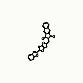 O=C1C(=Cc2cc3oc(-c4cc5ccccc5o4)nc3o2)C(=O)c2cc3ccccc3cc21